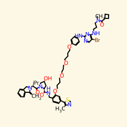 C=C1c2ccccc2CN1[C@H](C(=O)N1C[C@H](O)C[C@H]1C(=O)NCc1ccc(-c2scnc2C)cc1OCCCCOCCCOCCCCOc1ccc(Nc2ncc(Br)c(NCCCN(C)C(=O)C3CCC3)n2)cc1)C(C)C